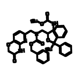 CC(C)(C)OC(=O)NCC(CN(Cc1ccc2c(n1)NC(=O)CO2)C(=O)OCc1ccccc1)O[Si](c1ccccc1)(c1ccccc1)C(C)(C)C